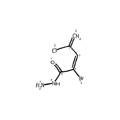 C=C(Cl)/C=C(/Br)C(=O)NN